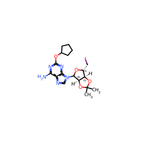 CC1(C)O[C@@H]2[C@@H](CI)OC(n3cnc4c(N)nc(OC5CCCC5)nc43)[C@@H]2O1